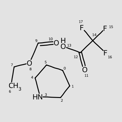 C1CCNCC1.CCOC=O.O=C(O)C(F)(F)F